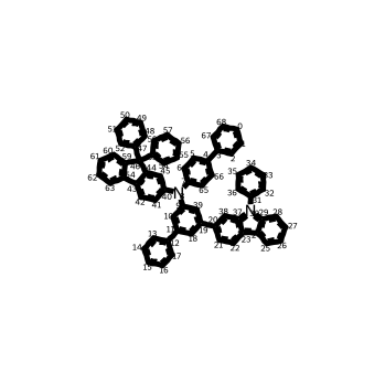 c1ccc(-c2ccc(N(c3cc(-c4ccccc4)cc(-c4ccc5c6ccccc6n(-c6ccccc6)c5c4)c3)c3ccc4c(c3)C(c3ccccc3)(c3ccccc3)c3ccccc3-4)cc2)cc1